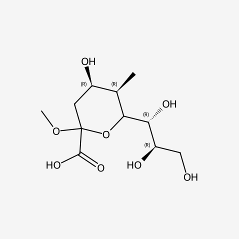 COC1(C(=O)O)C[C@@H](O)[C@@H](C)C([C@H](O)[C@H](O)CO)O1